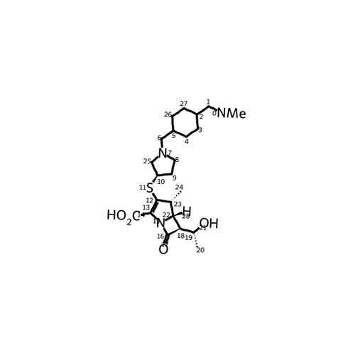 CNCC1CCC(CN2CC[C@@H](SC3=C(C(=O)O)N4C(=O)[C@H]([C@@H](C)O)[C@H]4[C@H]3C)C2)CC1